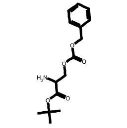 CC(C)(C)OC(=O)C(N)COC(=O)OCc1ccccc1